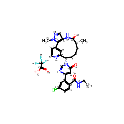 C[C@@H]1CCC[C@H](n2cnc(-c3cc(Cl)ccc3C(=O)NCC(F)(F)F)cc2=O)c2cc(ccn2)-c2c(cnn2C)NC1=O.O=C(O)C(F)(F)F